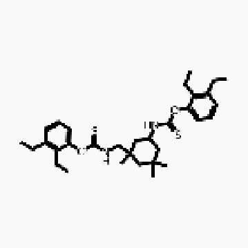 CCc1cccc(OC(=S)NCC2(C)CC(NC(=S)Oc3cccc(CC)c3CC)CC(C)(C)C2)c1CC